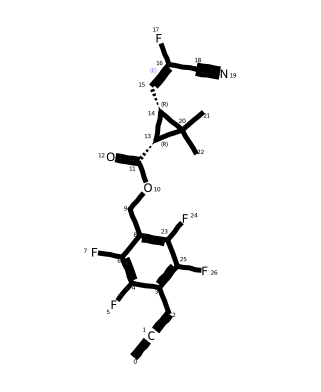 C=C=Cc1c(F)c(F)c(COC(=O)[C@@H]2[C@H](/C=C(/F)C#N)C2(C)C)c(F)c1F